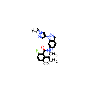 C=C(C)c1c(C#N)ccc(F)c1C(=O)Nc1ccc2cnn(-c3cnn(C)c3)c2c1